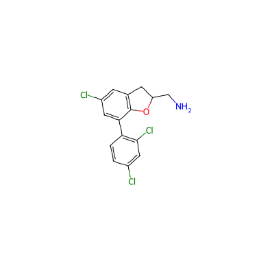 NCC1Cc2cc(Cl)cc(-c3ccc(Cl)cc3Cl)c2O1